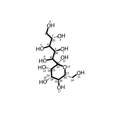 OC[C@H](O)C(O)[C@@H](O)C(O)[C@@]1(O)O[C@H](CO)[C@@H](O)[C@H](O)[C@@H]1O